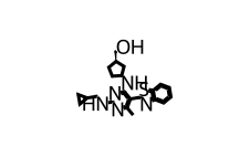 Cc1nc(NCC2CC2)nc(N[C@H]2CC[C@@H](CO)C2)c1-c1nc2ccccc2s1